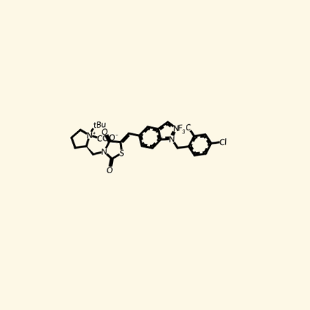 CC(C)(C)[N+]1(C(=O)[O-])CCC[C@@H]1CN1C(=O)S/C(=C\c2ccc3c(cnn3Cc3ccc(Cl)cc3C(F)(F)F)c2)C1=O